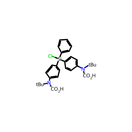 CC(C)(C)N(C(=O)O)c1ccc([Si](Cl)(c2ccccc2)c2ccc(N(C(=O)O)C(C)(C)C)cc2)cc1